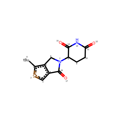 CC(C)(C)c1scc2c1CN(C1CCC(=O)NC1=O)C2=O